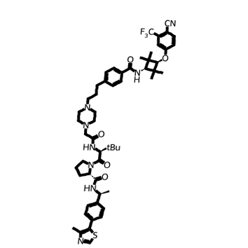 Cc1ncsc1-c1ccc([C@H](C)NC(=O)[C@@H]2CCCN2C(=O)[C@@H](NC(=O)CN2CCN(CCCc3ccc(C(=O)N[C@H]4C(C)(C)[C@H](Oc5ccc(C#N)c(C(F)(F)F)c5)C4(C)C)cc3)CC2)C(C)(C)C)cc1